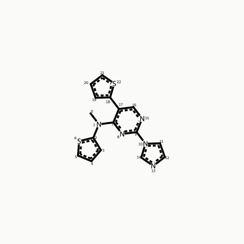 CN(c1cccs1)c1nc(-n2ccnc2)ncc1-c1cccs1